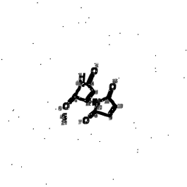 O=C1C=CC(=O)N1.O=C1C=CC(=O)N1.[S]